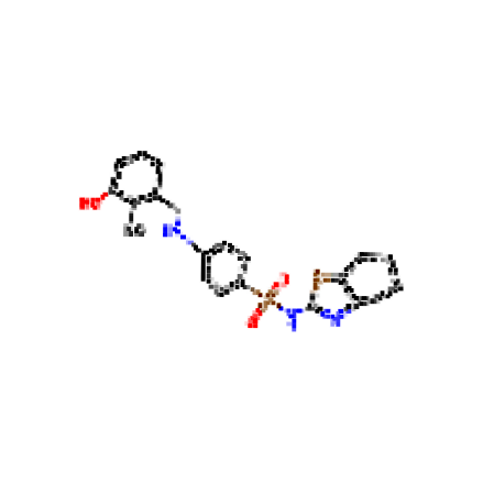 O=Nc1c(O)cccc1CNc1ccc(S(=O)(=O)Nc2nc3ccccc3s2)cc1